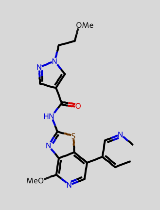 C/C=C(\C=N/C)c1cnc(OC)c2nc(NC(=O)c3cnn(CCOC)c3)sc12